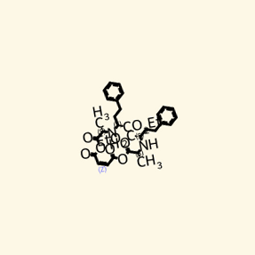 CCOC(=O)[C@H](CCc1ccccc1)N[C@@H](C)C(=O)OC(=O)/C=C\C(=O)OC(=O)[C@H](C)N[C@@H](CCc1ccccc1)C(=O)OCC